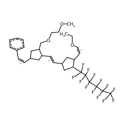 CCO/C=C\C1CC(/C=C/C2CC(/C=C\c3ccccc3)CC2COCCOC)CC1C(F)(F)C(F)(F)C(F)(F)C(F)(F)C(F)(F)C(F)(F)F